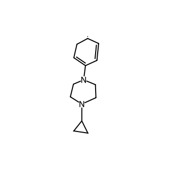 [CH]1C=CC(N2CCN(C3CC3)CC2)=CC1